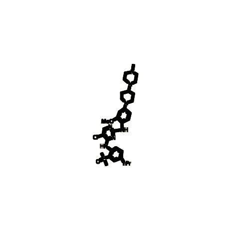 CCCc1ccc(Nc2nc(Nc3ccc(N4CCC(N5CCN(C)CC5)CC4)cc3OC)ncc2Cl)c(P(C)(C)=O)c1